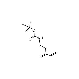 C=CC(=C)CCNC(=O)OC(C)(C)C